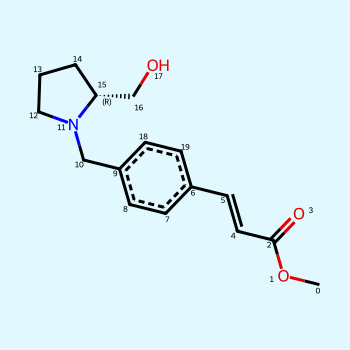 COC(=O)C=Cc1ccc(CN2CCC[C@@H]2CO)cc1